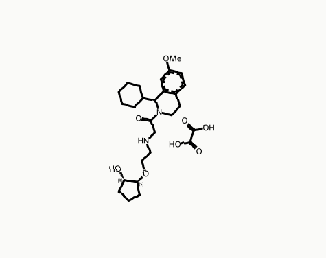 COc1ccc2c(c1)C(C1CCCCC1)N(C(=O)CNCCO[C@H]1CCC[C@H]1O)CC2.O=C(O)C(=O)O